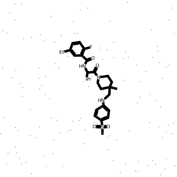 CCc1ccc(F)c(C(=O)NC(C(=O)N2CCC(C)(CNc3ccc(S(C)(=O)=O)cc3)CC2)C(C)C)c1